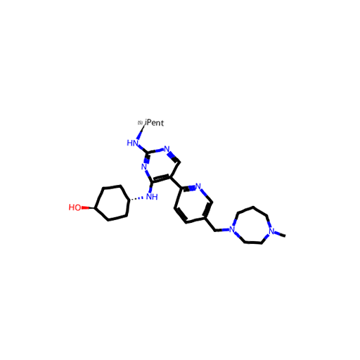 CCC[C@H](C)Nc1ncc(-c2ccc(CN3CCCN(C)CC3)cn2)c(N[C@H]2CC[C@H](O)CC2)n1